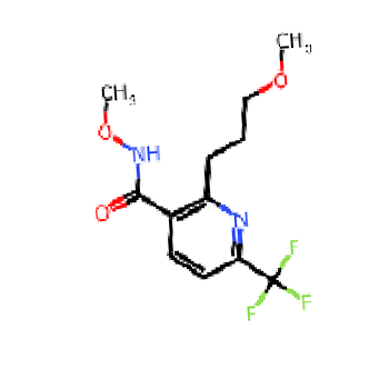 COCCCc1nc(C(F)(F)F)ccc1C(=O)NOC